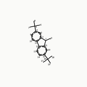 [CH2]C1c2cc(C(C)(C)C)ccc2-c2ccc(C(C)(C)C)cc21